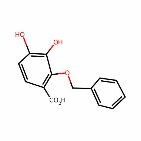 O=C(O)c1ccc(O)c(O)c1OCc1ccccc1